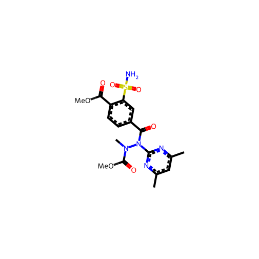 COC(=O)c1ccc(C(=O)N(c2nc(C)cc(C)n2)N(C)C(=O)OC)cc1S(N)(=O)=O